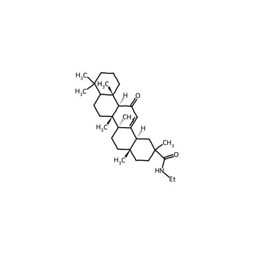 CCNC(=O)C1(C)CC[C@]2(C)CC[C@]3(C)C(=CC(=O)[C@@H]4[C@@]5(C)CCCC(C)(C)C5CC[C@]43C)[C@H]2C1